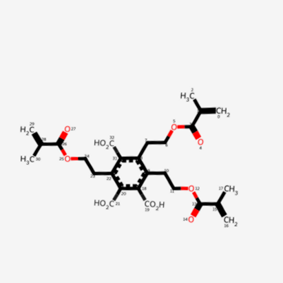 C=C(C)C(=O)OCCc1c(CCOC(=O)C(=C)C)c(C(=O)O)c(C(=O)O)c(CCOC(=O)C(=C)C)c1C(=O)O